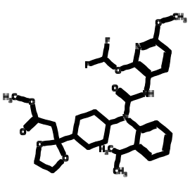 COC(=O)CC1(C2CCC(N(C(=O)Nc3ccc(OC)nc3OC(F)F)c3ccccc3C(C)C)CC2)OCCO1